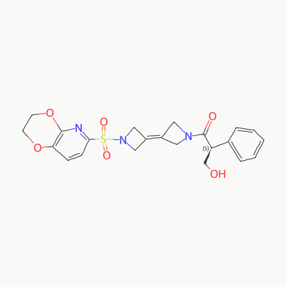 O=C([C@H](CO)c1ccccc1)N1CC(=C2CN(S(=O)(=O)c3ccc4c(n3)OCCO4)C2)C1